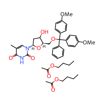 CCCCOC(C)=O.CCCCOC(C)=O.COc1ccc(C(OC[C@H]2O[C@@H](n3cc(C)c(=O)[nH]c3=O)CC2O)(c2ccccc2)c2ccc(OC)cc2)cc1